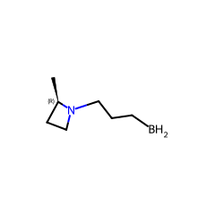 BCCCN1CC[C@H]1C